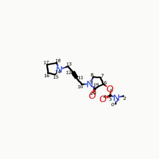 CN(C)C(=O)OC1CCN(CC#CCN2CCCC2)C1=O